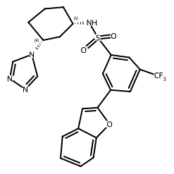 O=S(=O)(N[C@H]1CCC[C@@H](n2cnnc2)C1)c1cc(-c2cc3ccccc3o2)cc(C(F)(F)F)c1